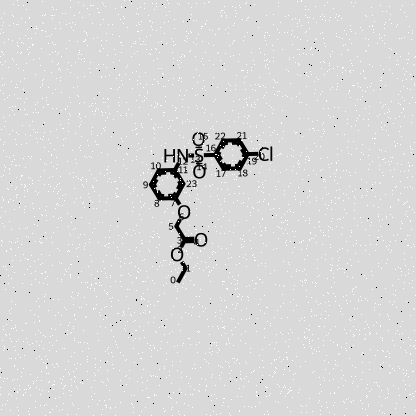 CCOC(=O)COc1cccc(NS(=O)(=O)c2ccc(Cl)cc2)c1